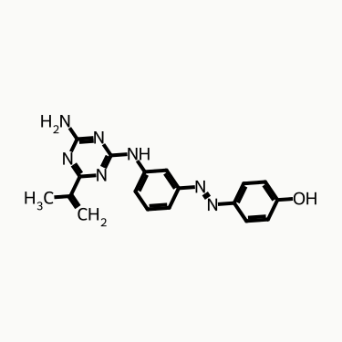 C=C(C)c1nc(N)nc(Nc2cccc(N=Nc3ccc(O)cc3)c2)n1